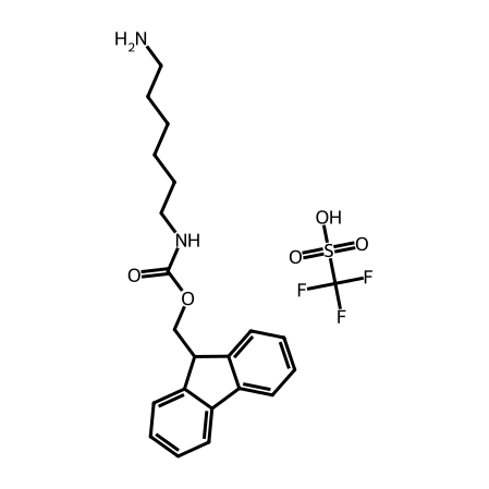 NCCCCCCNC(=O)OCC1c2ccccc2-c2ccccc21.O=S(=O)(O)C(F)(F)F